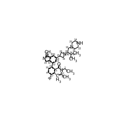 CCN(C(=O)c1cc(F)ccc1-c1cc(C2CN([C@@H](CN3CCNCC3)C(C)C)C2)cc2c1cnn2C)C(C)C